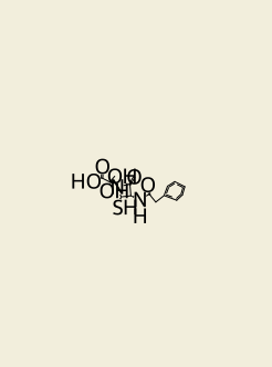 O=C(Cc1ccccc1)N[C@@H]1C(=O)N(C(O)(O)C(=O)O)[C@@H]1S